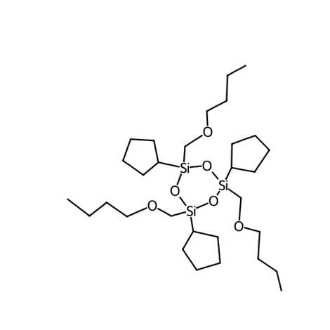 CCCCOC[Si]1(C2CCCC2)O[Si](COCCCC)(C2CCCC2)O[Si](COCCCC)(C2CCCC2)O1